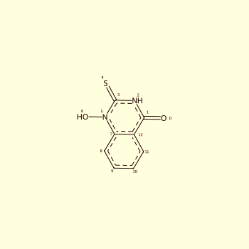 O=c1[nH]c(=S)n(O)c2ccccc12